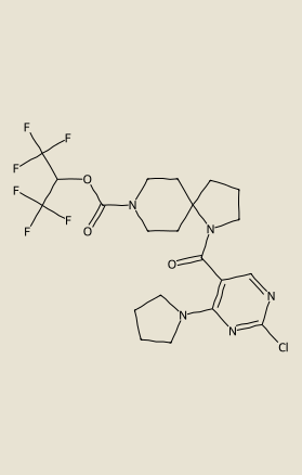 O=C(OC(C(F)(F)F)C(F)(F)F)N1CCC2(CCCN2C(=O)c2cnc(Cl)nc2N2CCCC2)CC1